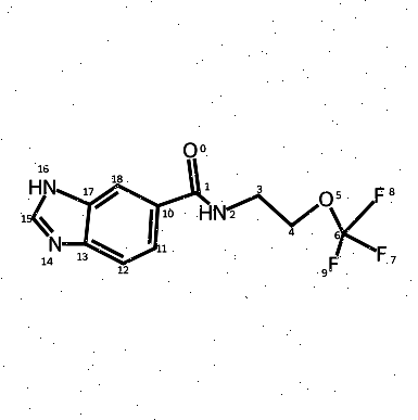 O=C(NCCOC(F)(F)F)c1ccc2nc[nH]c2c1